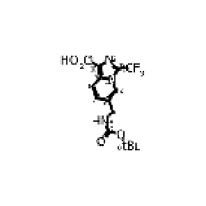 CC(C)(C)OC(=O)NCc1ccc2c(C(=O)O)nc(C(F)(F)F)n2c1